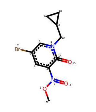 CO[N+](=O)c1cc(Br)cn(CC2CC2)c1=O